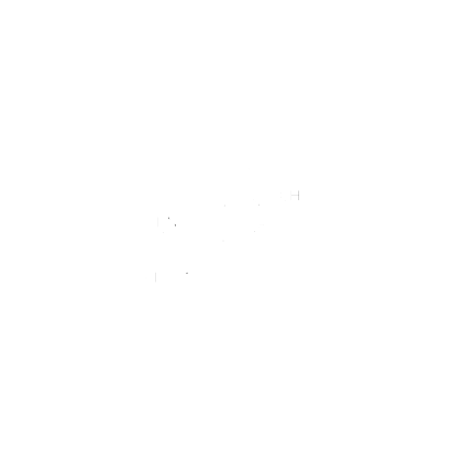 CS(=O)(=O)CCC(N)CI